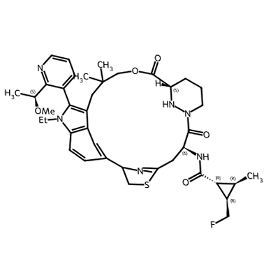 CCn1c(-c2cccnc2[C@H](C)OC)c2c3cc(ccc31)C1CSC(=N1)C[C@H](NC(=O)[C@@H]1[C@@H](C)[C@H]1CF)C(=O)N1CCC[C@H](N1)C(=O)OCC(C)(C)C2